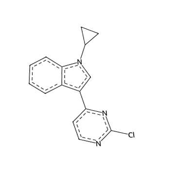 Clc1nccc(-c2cn(C3CC3)c3ccccc23)n1